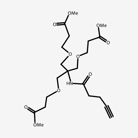 C#CCCC(=O)NC(COCCC(=O)OC)(COCCC(=O)OC)COCCC(=O)OC